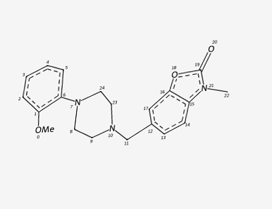 COc1ccccc1N1CCN(Cc2ccc3c(c2)oc(=O)n3C)CC1